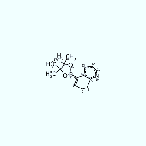 CC1(C)OB(C2=CCCc3ncccc32)OC1(C)C